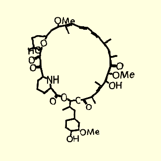 COC1CC2CCC(C)C(O)(O2)C(=O)C(=O)C2CCCC(N2)C(=O)OC(C(C)CC2CCC(O)C(OC)C2)CC(=O)C(C)/C=C(\C)C(O)C(OC)C(=O)C(C)CC(C)/C=C/C=C/C=C/1C